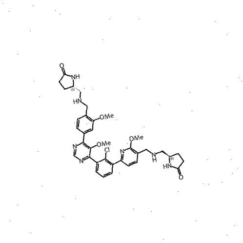 COc1cc(-c2ncnc(-c3cccc(-c4ccc(CNC[C@H]5CCC(=O)N5)c(OC)n4)c3Cl)c2OC)ccc1CNC[C@@H]1CCC(=O)N1